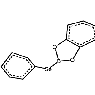 c1ccc([Se]B2Oc3ccccc3O2)cc1